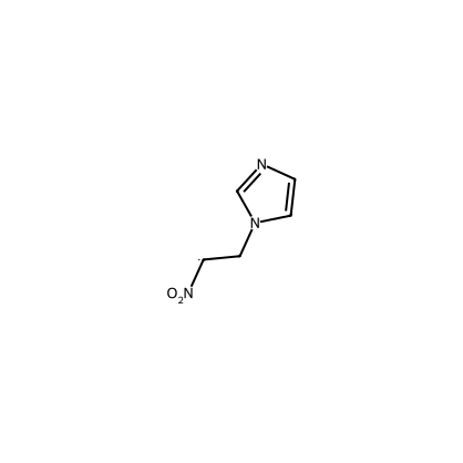 O=[N+]([O-])[CH]Cn1ccnc1